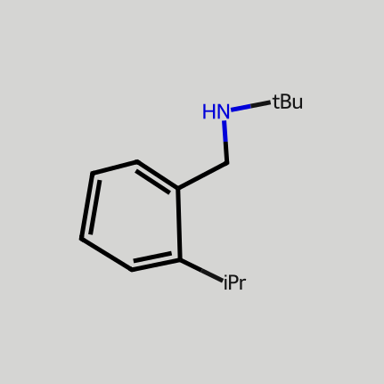 CC(C)c1ccccc1CNC(C)(C)C